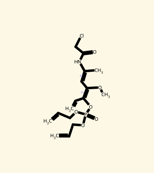 C=CCOP(=O)(OCC=C)O/C(C=C)=C(/C=C(\C)NC(=O)CCl)OC